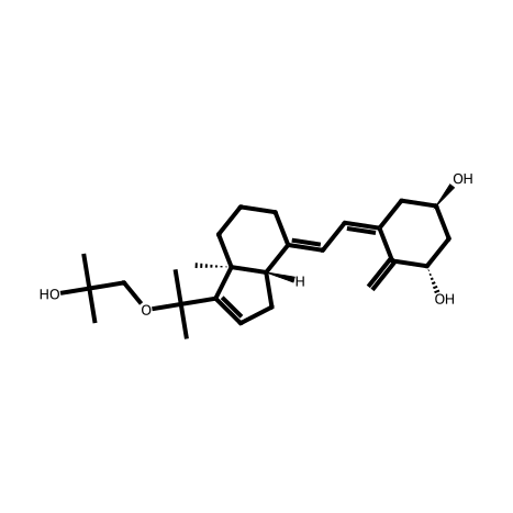 C=C1C(=CC=C2CCC[C@]3(C)C(C(C)(C)OCC(C)(C)O)=CC[C@@H]23)C[C@@H](O)C[C@@H]1O